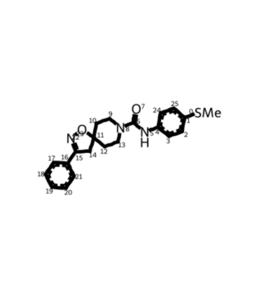 CSc1ccc(NC(=O)N2CCC3(CC2)CC(c2ccccc2)=NO3)cc1